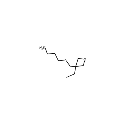 CCC1(CSCCC[SiH3])COC1